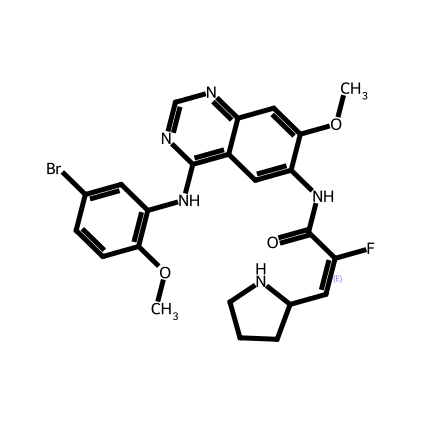 COc1cc2ncnc(Nc3cc(Br)ccc3OC)c2cc1NC(=O)/C(F)=C\C1CCCN1